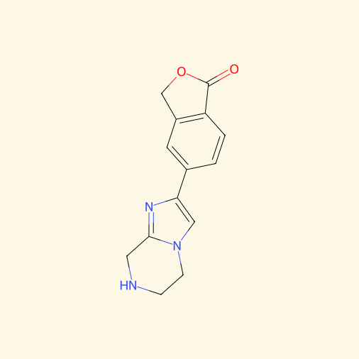 O=C1OCc2cc(-c3cn4c(n3)CNCC4)ccc21